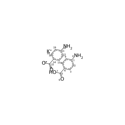 Nc1ccc(C(=O)O)cc1.Nc1ccc(C(=O)[O-])cc1.[K+]